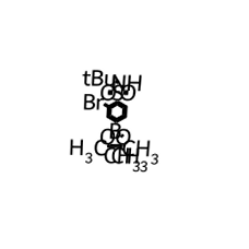 CC(C)(C)NS(=O)(=O)c1ccc(B2OC(C)(C)C(C)(C)O2)cc1Br